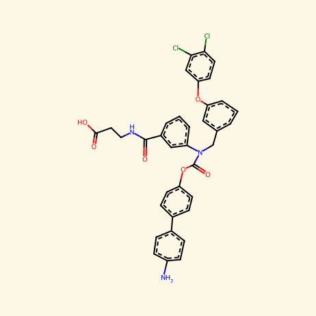 Nc1ccc(-c2ccc(OC(=O)N(Cc3cccc(Oc4ccc(Cl)c(Cl)c4)c3)c3cccc(C(=O)NCCC(=O)O)c3)cc2)cc1